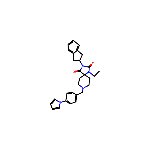 CCN1C(=O)N(C2Cc3ccccc3C2)C(=O)C12CCN(Cc1ccc(-n3cccc3)cc1)CC2